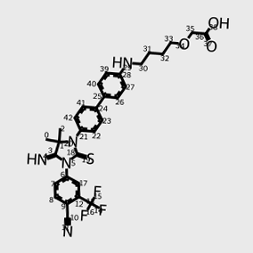 CC1(C)C(=N)N(c2ccc(C#N)c(C(F)(F)F)c2)C(=S)N1c1ccc(-c2ccc(NCCCCOCC(=O)O)cc2)cc1